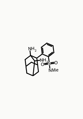 CNS(=O)(=O)c1ccccc1C1C2CC3CC(C2)C(N)C1(N)C3